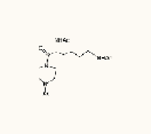 CC(=O)NCCCCC(NC(C)=O)C(=O)N1CCN(C(C)=O)CC1